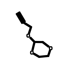 C#CCOC1COCCO1